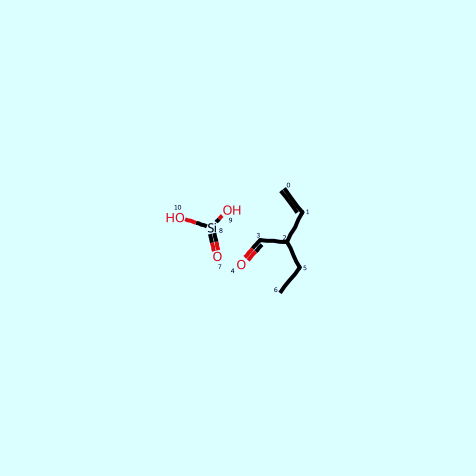 C=CC(C=O)CC.O=[Si](O)O